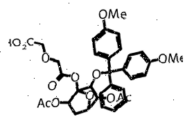 COc1ccc(C(OC2C(OC(C)=O)C3CC(OC(C)=O)C2(OC(=O)COCC(=O)O)O3)(c2ccccc2)c2ccc(OC)cc2)cc1